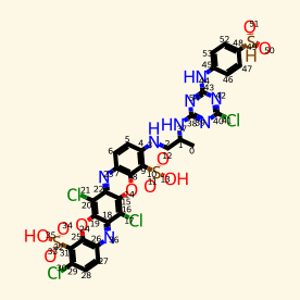 CC(CNc1ccc2c(c1S(=O)(=O)O)Oc1c(Cl)c3c(c(Cl)c1=N2)Oc1c(ccc(Cl)c1S(=O)(=O)O)N=3)Nc1nc(Cl)nc(Nc2ccc([SH](=O)=O)cc2)n1